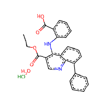 CCOC(=O)c1cnc2c(-c3ccccc3)cccc2c1Nc1ccccc1C(=O)O.Cl.O